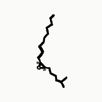 CCCCCCCC=CC[C@@H]1O[C@@H]1CCCCC(C)C